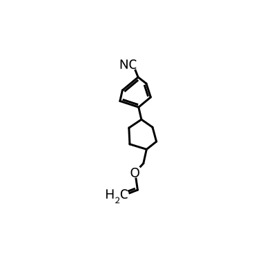 C=COCC1CCC(c2ccc(C#N)cc2)CC1